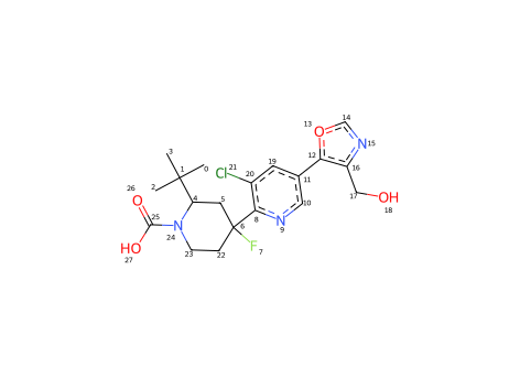 CC(C)(C)C1CC(F)(c2ncc(-c3ocnc3CO)cc2Cl)CCN1C(=O)O